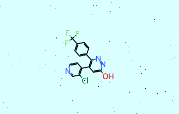 Oc1cc(-c2ccncc2Cl)c(-c2ccc(C(F)(F)F)cc2)nn1